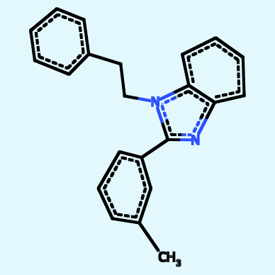 Cc1cccc(-c2nc3ccccc3n2CCc2ccccc2)c1